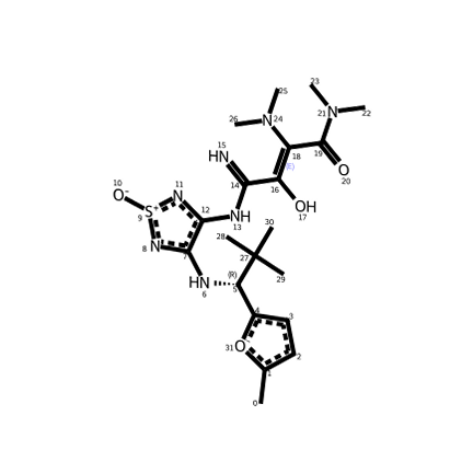 Cc1ccc([C@H](Nc2n[s+]([O-])nc2NC(=N)/C(O)=C(/C(=O)N(C)C)N(C)C)C(C)(C)C)o1